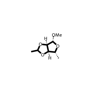 CO[C@@H]1O[C@H](C)[C@H]2OC(C)O[C@@H]12